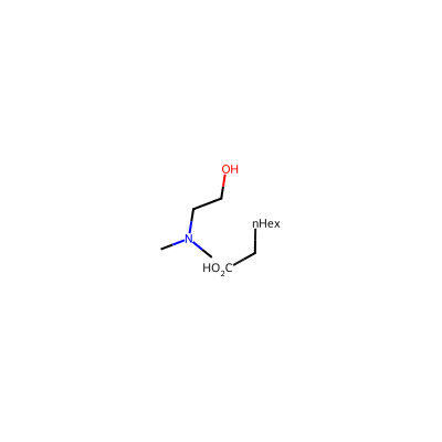 CCCCCCCC(=O)O.CN(C)CCO